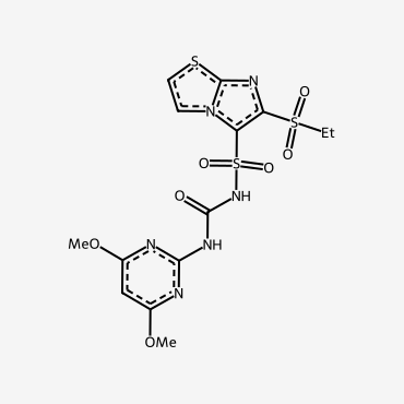 CCS(=O)(=O)c1nc2sccn2c1S(=O)(=O)NC(=O)Nc1nc(OC)cc(OC)n1